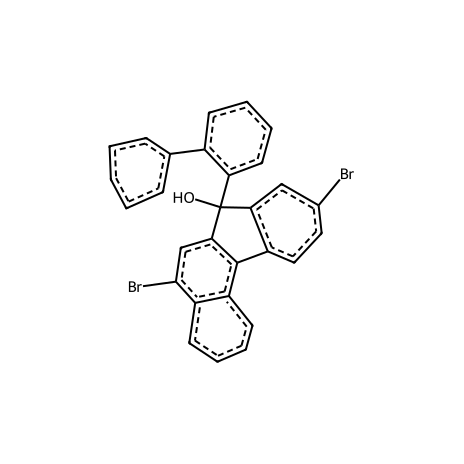 OC1(c2ccccc2-c2ccccc2)c2cc(Br)ccc2-c2c1cc(Br)c1ccccc21